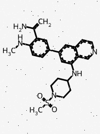 C=C(N)c1cc(-c2cc(NC3CCN(S(C)(=O)=O)CC3)c3cnccc3c2)ccc1NC